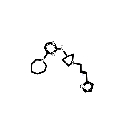 C(=C\c1ccco1)/CN1CCC(Nc2nccc(N3CCCCCC3)n2)C1